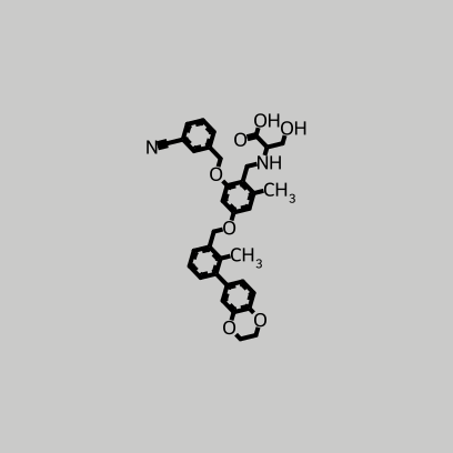 Cc1cc(OCc2cccc(-c3ccc4c(c3)OCCO4)c2C)cc(OCc2cccc(C#N)c2)c1CNC(CO)C(=O)O